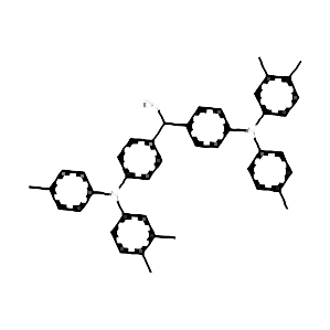 CCC(C)C(c1ccc(N(c2ccc(C)cc2)c2ccc(C)c(C)c2)cc1)c1ccc(N(c2ccc(C)cc2)c2ccc(C)c(C)c2)cc1